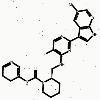 O=C(NC1=CN=CCC1)N1CCCC[C@@H]1CNc1nc(-c2c[nH]c3ncc(Cl)cc23)ncc1F